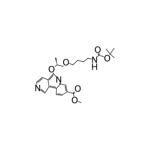 COC(=O)c1ccc2c(c1)nc(O[C@@H](C)COCCCCNC(=O)OC(C)(C)C)c1ccncc12